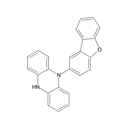 c1ccc2c(c1)Nc1ccccc1N2c1ccc2oc3ccccc3c2c1